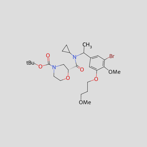 COCCCOc1cc(C(C)N(C(=O)[C@H]2CN(C(=O)OC(C)(C)C)CCO2)C2CC2)cc(Br)c1OC